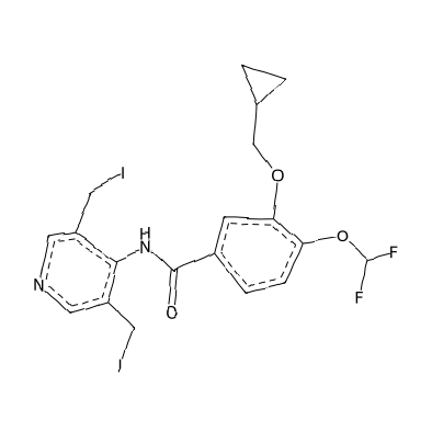 O=C(Nc1c(CI)cncc1CI)c1ccc(OC(F)F)c(OCC2CC2)c1